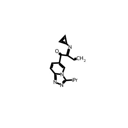 C=C/C(=N/C1=C=C1)C(=O)c1ccc2nnc(C(C)C)n2c1